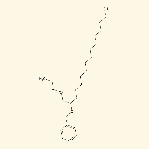 CC[CH]OCC(CCCCCCCCCCCCCC)OCc1ccccc1